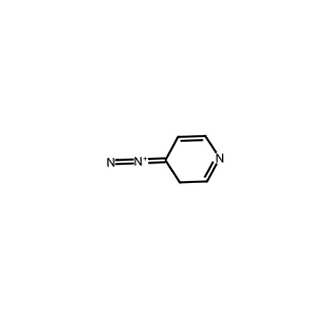 [N-]=[N+]=C1C=CN=CC1